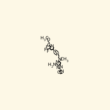 COCCOc1ncc(N2CCN(CCN(C)c3cc4nc(-c5ncco5)nn4c(N)n3)CC2)cc1C(F)(F)F